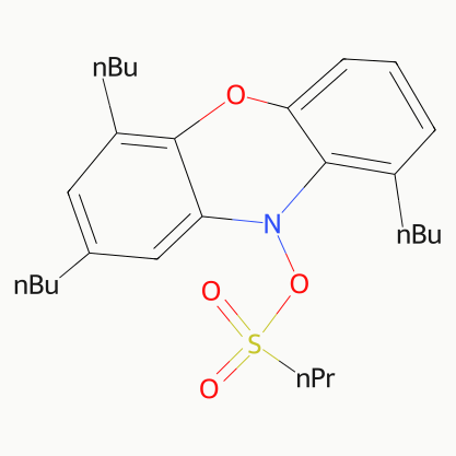 CCCCc1cc(CCCC)c2c(c1)N(OS(=O)(=O)CCC)c1c(CCCC)cccc1O2